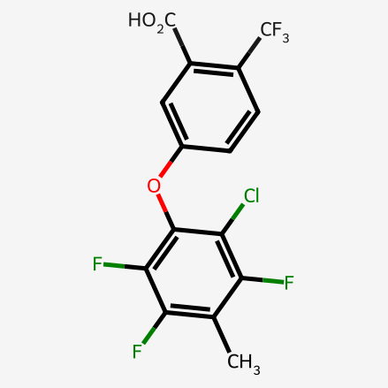 Cc1c(F)c(F)c(Oc2ccc(C(F)(F)F)c(C(=O)O)c2)c(Cl)c1F